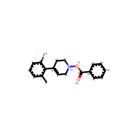 Cc1cccc(F)c1C1=CCN(OC(=O)c2ccccc2)CC1